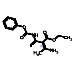 CCOC(=O)/C(C(=S)NC(=O)Oc1ccccc1)=C(/C)N